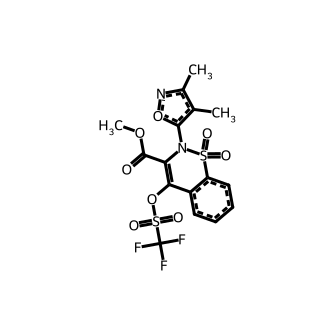 COC(=O)C1=C(OS(=O)(=O)C(F)(F)F)c2ccccc2S(=O)(=O)N1c1onc(C)c1C